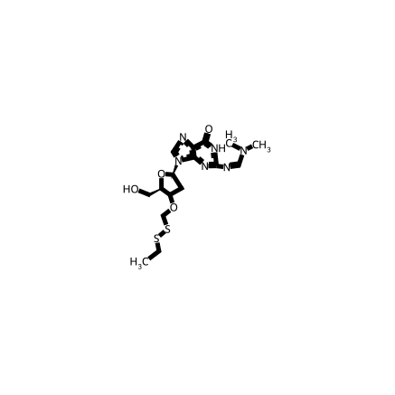 CCSSCOC1C[C@H](n2cnc3c(=O)[nH]c(/N=C\N(C)C)nc32)O[C@@H]1CO